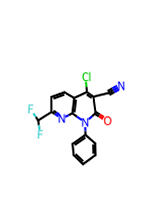 N#Cc1c(Cl)c2ccc(C(F)F)nc2n(-c2ccccc2)c1=O